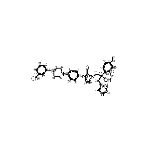 O=c1n(-c2ccc(N3CCN(c4cccc(Cl)c4)CC3)cc2)cnn1CC(O)(Cn1cncn1)c1ccc(F)cc1F